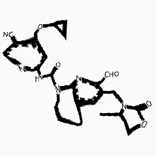 CC1COC(=O)N1Cc1cc2c(nc1C=O)N(C(=O)Nc1cc(OC3CC3)c(C#N)cn1)CCC2